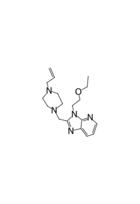 C=CCN1CCN(Cc2nc3cccnc3n2CCOCC)CC1